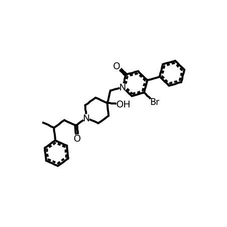 CC(CC(=O)N1CCC(O)(Cn2cc(Br)c(-c3ccccc3)cc2=O)CC1)c1ccccc1